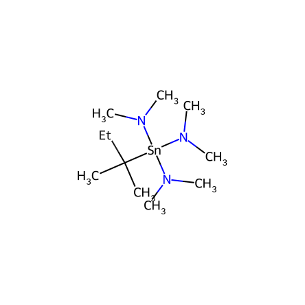 CC[C](C)(C)[Sn]([N](C)C)([N](C)C)[N](C)C